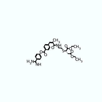 CCOC(=O)C[C@H](SCCNC(=O)C(C)=Cc1ccc(C(=O)Oc2ccc(C(=N)N)cc2)cc1)C(=O)OCC